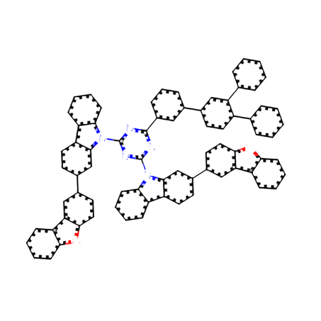 c1ccc(-c2ccc(-c3cccc(-c4nc(-n5c6ccccc6c6ccc(-c7ccc8oc9ccccc9c8c7)cc65)nc(-n5c6ccccc6c6ccc(-c7ccc8oc9ccccc9c8c7)cc65)n4)c3)cc2-c2ccccc2)cc1